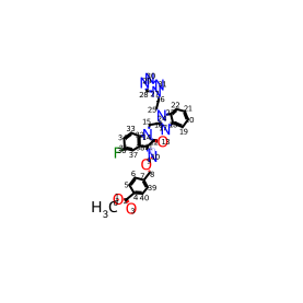 COC(=O)c1ccc(CO/N=C2/C(=O)N(Cc3nc4ccccc4n3CCn3cnnn3)c3ccc(F)cc32)cc1